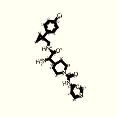 NC(C(=O)NCC1(c2ccc(Cl)cc2)CC1)C1CCN(C(=O)Nc2ccncc2)CC1